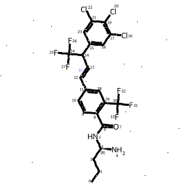 CCC[C@H](N)NC(=O)c1ccc(/C=C/C(c2cc(Cl)c(Cl)c(Cl)c2)C(F)(F)F)cc1C(F)(F)F